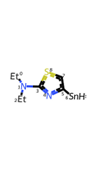 CCN(CC)c1n[c]([SnH])cs1